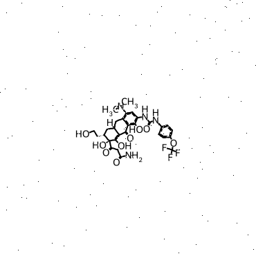 CN(C)c1cc(NC(=O)Nc2ccc(OC(F)(F)F)cc2)c(O)c2c1C[C@H]1C[C@@H](CCO)[C@@](O)(C(=O)CC(N)=O)C(O)=C1C2=O